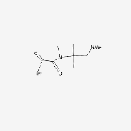 CNCC(C)(C)N(C)C(=O)C(=O)C(C)C